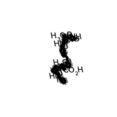 Cc1c(OCCC2CCC3(CCN(CC(=O)Nc4ccc5c(C6CCC(=O)NC6=O)nn(C)c5c4)CC3)C2)cccc1-c1ccc(N2CCc3cccc(C(=O)Nc4nc5ccccc5s4)c3C2)nc1C(=O)O